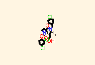 CC1(C(=O)N(CCCC(=O)O)Cc2ccc(Cl)cc2)CCN1COc1ccc(Cl)cc1Cl